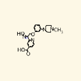 CN1CCN(c2cccc(OC/C(=N\O)c3cc(C(=O)O)ccn3)c2)CC1